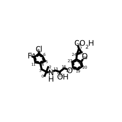 CC(C)(Cc1ccc(Cl)c(F)c1)NCC(O)COc1ccc2c(c1)C1C(O2)C1C(=O)O